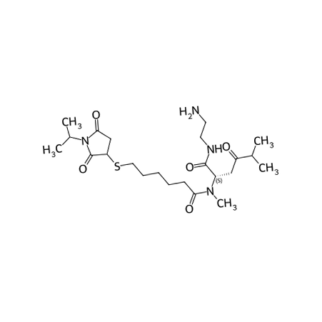 CC(C)C(=O)C[C@@H](C(=O)NCCN)N(C)C(=O)CCCCCSC1CC(=O)N(C(C)C)C1=O